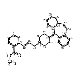 COC(=O)c1ccccc1/C=C/CN1CCC(=C2c3ccccc3C=Cc3ccccc32)CC1